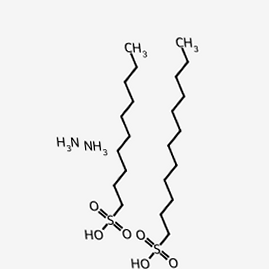 CCCCCCCCCCCCS(=O)(=O)O.CCCCCCCCCCS(=O)(=O)O.N.N